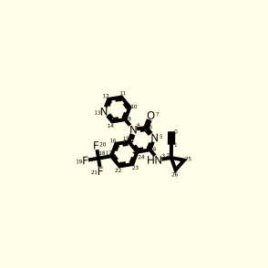 C#CC1(Nc2nc(=O)n(-c3cccnc3)c3cc(C(F)(F)F)ccc23)CC1